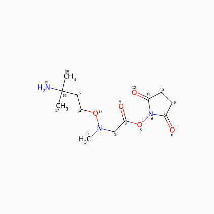 CN(CC(=O)ON1C(=O)CCC1=O)OCCC(C)(C)N